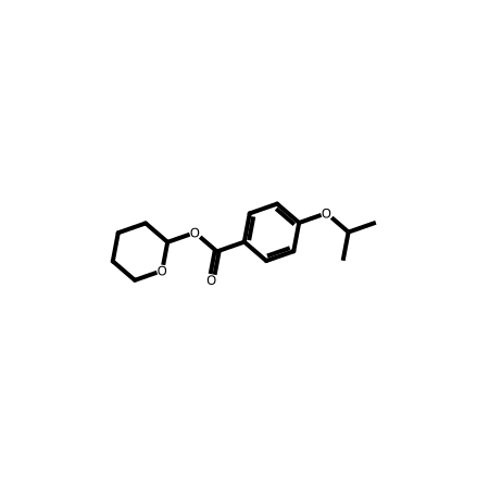 CC(C)Oc1ccc(C(=O)OC2CCCCO2)cc1